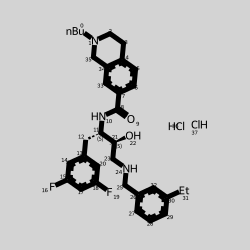 CCCCN1CCc2ccc(C(=O)N[C@@H](Cc3cc(F)cc(F)c3)[C@@H](O)CNCc3cccc(CC)c3)cc2C1.Cl.Cl